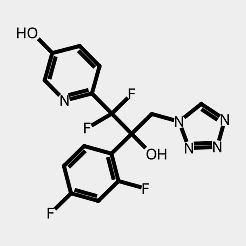 Oc1ccc(C(F)(F)C(O)(Cn2cnnn2)c2ccc(F)cc2F)nc1